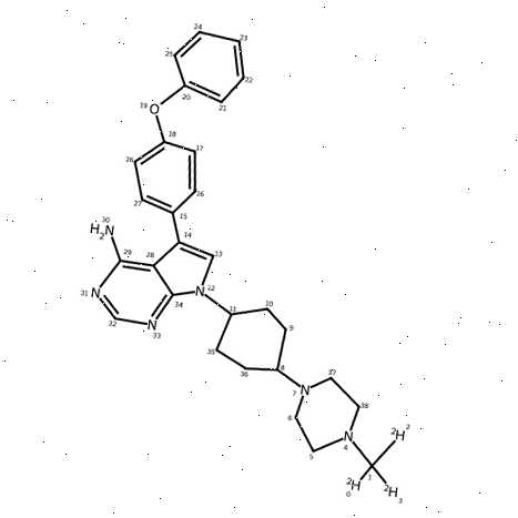 [2H]C([2H])([2H])N1CCN(C2CCC(n3cc(-c4ccc(Oc5ccccc5)cc4)c4c(N)ncnc43)CC2)CC1